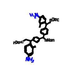 CCCCCCCCCCCC(c1ccc(C(CCCCCCCCC)c2ccc(C(CCCCCCCCCCC)c3ccc(N)cc3C)cc2)cc1)c1ccc(N)cc1C